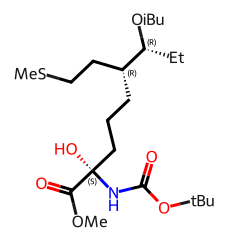 CC[C@@H](OCC(C)C)[C@H](CCC[C@@](O)(NC(=O)OC(C)(C)C)C(=O)OC)CCSC